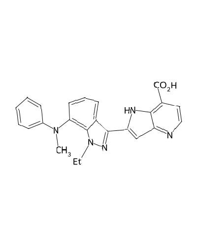 CCn1nc(-c2cc3nccc(C(=O)O)c3[nH]2)c2cccc(N(C)c3ccccc3)c21